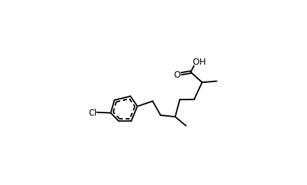 CC(CCc1ccc(Cl)cc1)CCC(C)C(=O)O